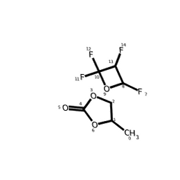 CC1COC(=O)O1.FC1OC(F)(F)C1F